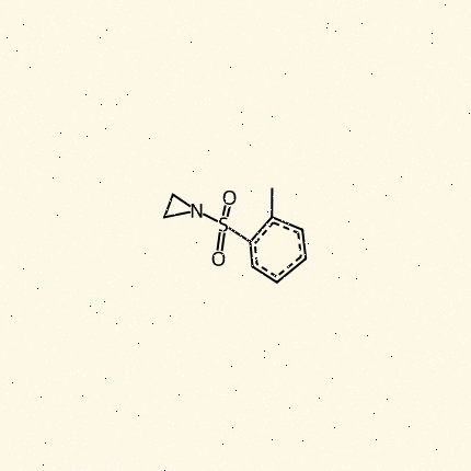 Cc1ccccc1S(=O)(=O)N1CC1